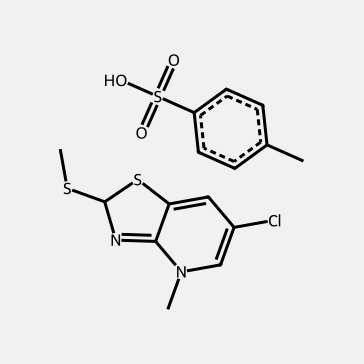 CSC1N=C2C(=CC(Cl)=CN2C)S1.Cc1ccc(S(=O)(=O)O)cc1